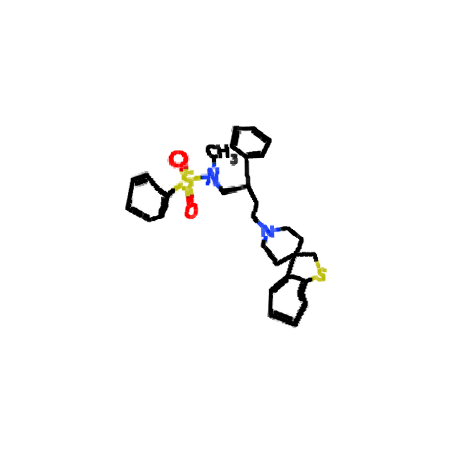 CN(C[C@H](CCN1CCC2(CC1)CSc1ccccc12)c1ccccc1)S(=O)(=O)c1ccccc1